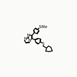 CSc1ccc(-c2nc3ncccn3c2-c2ccc(SCC3CCCCC3)cc2)cc1